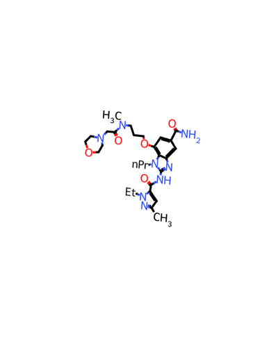 CCCn1c(NC(=O)c2cc(C)nn2CC)nc2cc(C(N)=O)cc(OCCCN(C)C(=O)CN3CCOCC3)c21